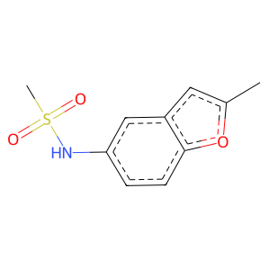 Cc1cc2cc(NS(C)(=O)=O)ccc2o1